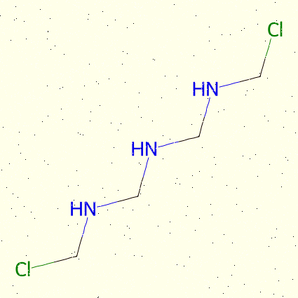 ClCNCNCNCCl